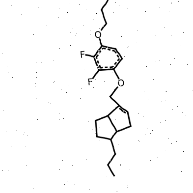 CCCOc1ccc(OCC2=CCC3C(CCC)CCC23)c(F)c1F